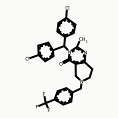 Cc1nc2c(c(=O)n1C(c1ccc(Cl)cc1)c1ccc(Cl)cc1)CN(Cc1ccc(C(F)(F)F)cc1)CC2